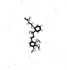 COc1ccc(/C=C/C(=O)c2ccccc2OCCN(C)C)c(OC)c1OC